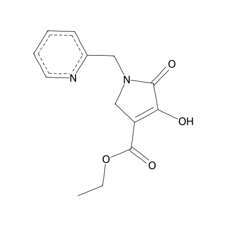 CCOC(=O)C1=C(O)C(=O)N(Cc2ccccn2)C1